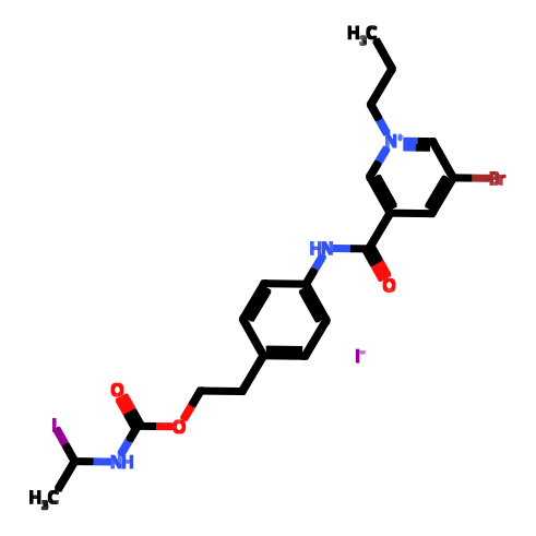 CCC[n+]1cc(Br)cc(C(=O)Nc2ccc(CCOC(=O)NC(C)I)cc2)c1.[I-]